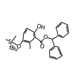 Cc1c(O[Si](C)(C)C(C)(C)C)ccc(O)c1C(=O)OC(c1ccccc1)c1ccccc1